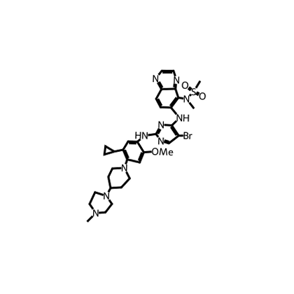 COc1cc(N2CCC(N3CCN(C)CC3)CC2)c(C2CC2)cc1Nc1ncc(Br)c(Nc2ccc3nccnc3c2N(C)S(C)(=O)=O)n1